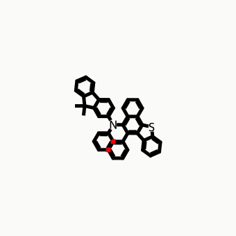 CC1(C)c2ccccc2-c2ccc(N(c3ccccc3)c3c(-c4ccccc4)c4c5ccccc5sc4c4ccccc34)cc21